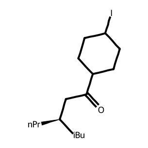 CCC[C@@H](CC(=O)C1CCC(I)CC1)C(C)CC